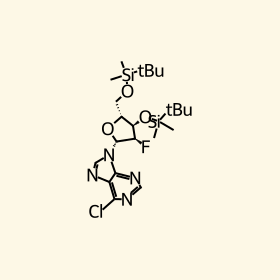 CC(C)(C)[Si](C)(C)OC[C@H]1O[C@@H](n2cnc3c(Cl)ncnc32)[C@H](F)[C@@H]1O[Si](C)(C)C(C)(C)C